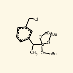 CCCCO[Si](OCCCC)(OCCCC)C(C)c1cccc(CCl)c1